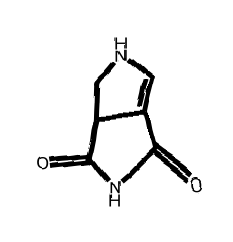 O=C1NC(=O)C2CNC=C12